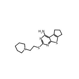 Nc1nc(SCCN2CCCCC2)nc2sc3c(c12)CCC3